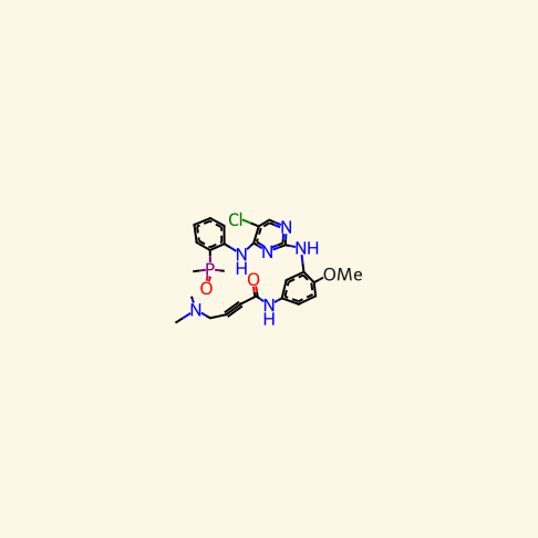 COc1ccc(NC(=O)C#CCN(C)C)cc1Nc1ncc(Cl)c(Nc2ccccc2P(C)(C)=O)n1